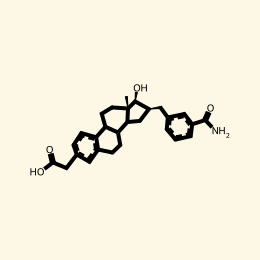 C[C@]12CCC3c4ccc(CC(=O)O)cc4CCC3C1C[C@H](Cc1cccc(C(N)=O)c1)[C@@H]2O